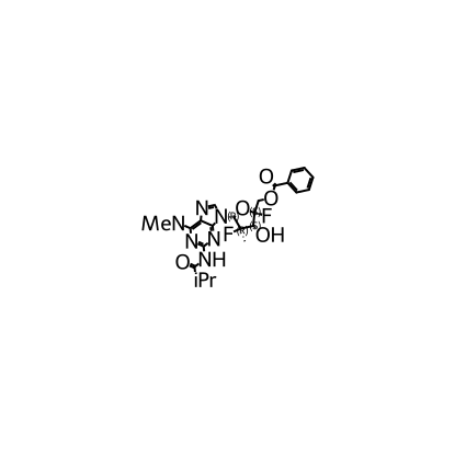 CNc1nc(NC(=O)C(C)C)nc2c1ncn2[C@@H]1O[C@](F)(COC(=O)c2ccccc2)[C@@H](O)[C@@]1(C)F